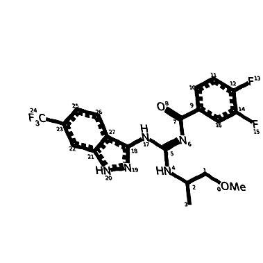 COCC(C)NC(=NC(=O)c1ccc(F)c(F)c1)Nc1n[nH]c2cc(C(F)(F)F)ccc12